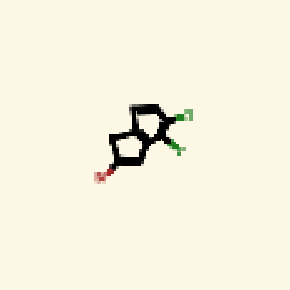 Clc1ccc2c(c1Cl)C=C(Br)C2